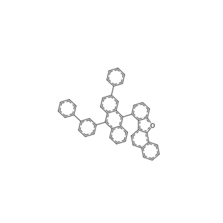 c1ccc(-c2cccc(-c3c4ccccc4c(-c4cccc5oc6c7ccccc7ccc6c45)c4cc(-c5ccccc5)ccc34)c2)cc1